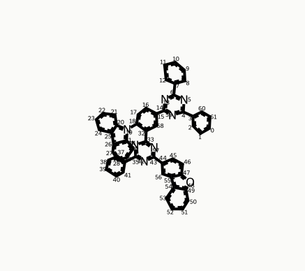 c1ccc(-c2nc(-c3ccccc3)nc(-c3ccc(-n4c5ccccc5c5ccccc54)c(-c4nc(-c5ccccc5)nc(-c5ccc6oc7ccccc7c6c5)n4)c3)n2)cc1